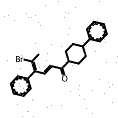 CC(Br)=C(C=CC(=O)C1CCC(c2ccccc2)CC1)c1ccccc1